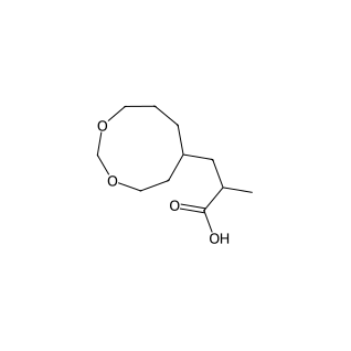 CC(CC1CCCOCOCC1)C(=O)O